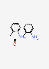 C=O.Cc1ccccc1N.Cc1ccccc1N